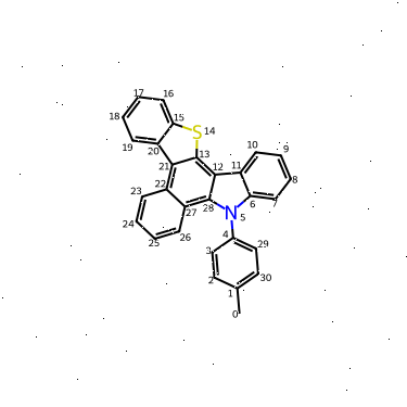 Cc1ccc(-n2c3ccccc3c3c4sc5ccccc5c4c4ccccc4c32)cc1